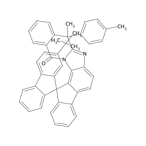 Cc1ccc(C2(C)c3ccccc3C(=O)n3c2nc2ccc4c(c23)C2(c3ccccc3-c3ccc(C(C)(C)C)cc32)c2ccccc2-4)cc1